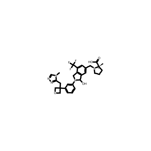 Cn1cnnc1CC1(c2cccc(N3Cc4c(cc(CN5CCC[C@@]5(C)C(=O)O)cc4C(F)(F)F)C3O)c2)COC1